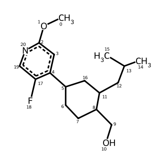 COc1cc(C2CCC(CO)C(CC(C)C)C2)c(F)cn1